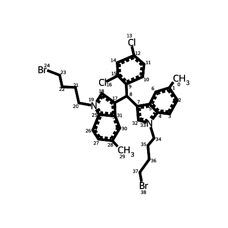 Cc1ccc2c(c1)c(C(c1ccc(Cl)cc1Cl)c1cn(CCCCBr)c3ccc(C)cc13)cn2CCCCBr